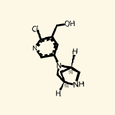 OCc1cc(N2C[C@@H]3C[C@H]2CN3)cnc1Cl